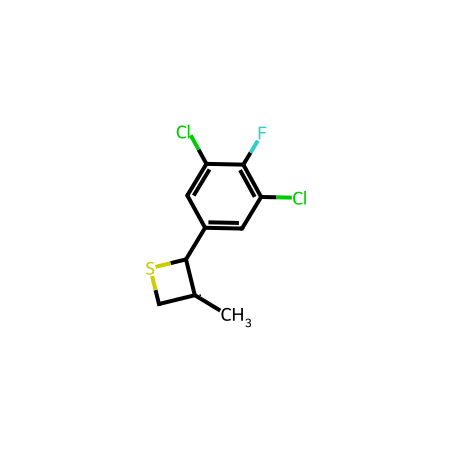 C[C]1CSC1c1cc(Cl)c(F)c(Cl)c1